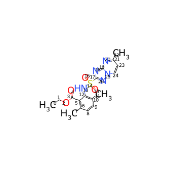 CCOC(=O)c1c(C)ccc(C)c1NS(=O)(=O)c1nc2nc(C)ccn2n1